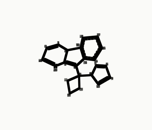 C1=CC2C(=C(C3(C4C=CC=C4)CCC3)c3ccccc32)N=C1